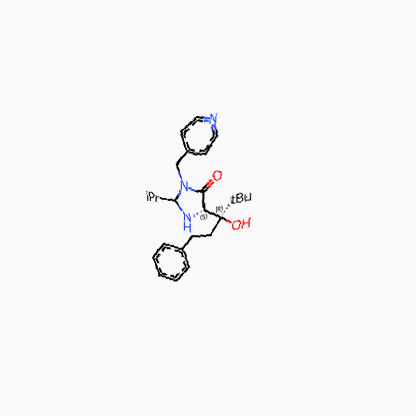 CC(C)C1N[C@@H]([C@@](O)(CCc2ccccc2)C(C)(C)C)C(=O)N1Cc1ccncc1